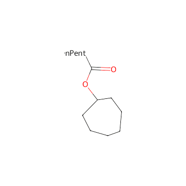 CCCC[CH]C(=O)OC1CCCCCC1